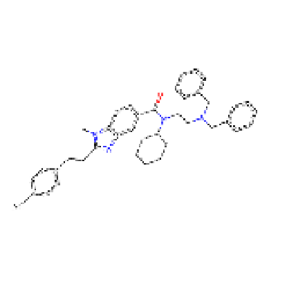 Cn1c(CCc2ccc(C#N)cc2)nc2cc(C(=O)N(CCN(Cc3ccccc3)Cc3ccccc3)C3CCCCC3)ccc21